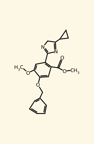 COC(=O)c1cc(OCc2ccccc2)c(OC)cc1C1=NCC(C2CC2)=N1